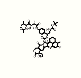 CC[C@]1(O)C(=O)OCc2c1cc1n(c2=O)Cc2c-1nc1cc(F)c(C)c3c1c2[C@H](N(C(=O)O)C(CNC(=O)OC(C)(C)C)c1ccc(NC(=O)[C@H](C)NC(=O)[C@@H](NC(C)=O)C(C)C)cc1)CC3